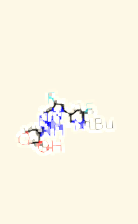 CC(C)(C)c1ncc(-c2cc(F)c3cnc(N[C@@H]4CCOC[C@H]4O)nn23)cc1F